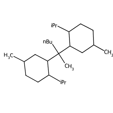 CCCCC(C)(C1CC(C)CCC1C(C)C)C1CC(C)CCC1C(C)C